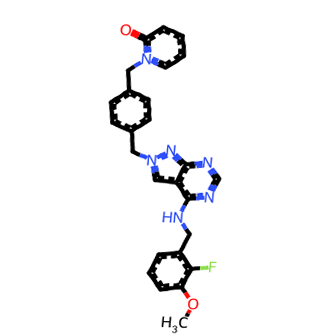 COc1cccc(CNc2ncnc3nn(Cc4ccc(Cn5ccccc5=O)cc4)cc23)c1F